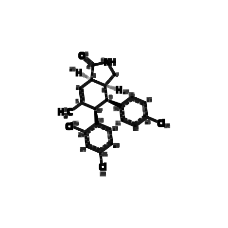 CC1=C[C@H]2C(=O)NC[C@H]2[C@@H](c2ccc(Cl)cc2)[C@H]1c1ccc(Cl)cc1Cl